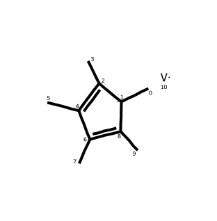 C[C]1C(C)=C(C)C(C)=C1C.[V]